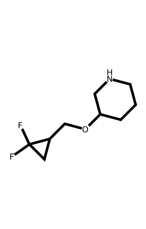 FC1(F)CC1COC1CCCNC1